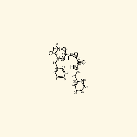 CNC(=O)[C@H](Cc1ccccc1)NC(=O)C1OC1C(=O)NCCc1ccccn1